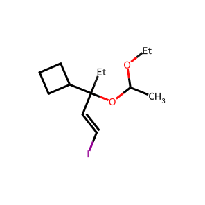 CCOC(C)OC(/C=C/I)(CC)C1CCC1